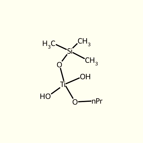 CCC[O][Ti]([OH])([OH])[O][Si](C)(C)C